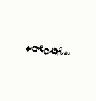 CCCCNC(=O)c1ccc(N2CCN(CC(=O)N3CCN(C4CCC4)CC3)CC2)nc1